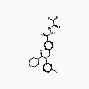 O=C(NNC(=O)C(F)F)c1ccc(CN(C(=O)N2CCOCC2)c2cccc(Cl)c2)nc1